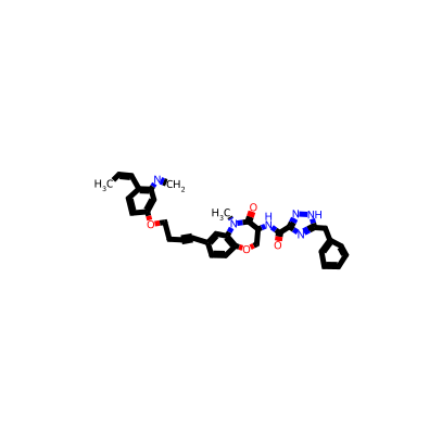 C=Nc1cc(OCCC#Cc2ccc3c(c2)N(C)C(=O)C(NC(=O)c2n[nH]c(Cc4ccccc4)n2)CO3)ccc1/C=C\C